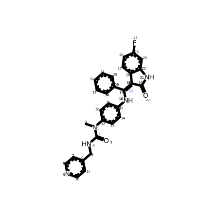 CN(C(=O)NCc1ccncc1)c1ccc(N/C(=C2\C(=O)Nc3cc(F)ccc32)c2ccccc2)cc1